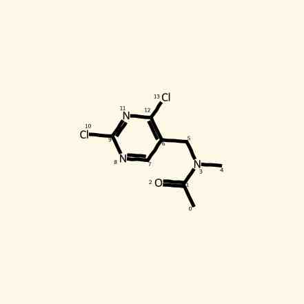 CC(=O)N(C)Cc1cnc(Cl)nc1Cl